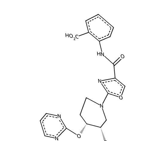 O=C(Nc1ccccc1C(=O)O)c1coc(N2CC[C@@H](Oc3ncccn3)[C@@H](F)C2)n1